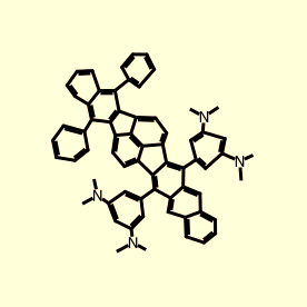 CN(C)c1cc(-c2c3c(c(-c4cc(N(C)C)cc(N(C)C)c4)c4cc5ccccc5cc24)-c2ccc4c5c(ccc-3c25)-c2c-4c(-c3ccccc3)c3ccccc3c2-c2ccccc2)cc(N(C)C)c1